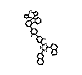 Cc1cc(-c2cccc3c2-c2ccccc2C32c3ccccc3Oc3ccccc32)ccc1-c1ccc(-c2nc(-c3ccc4ccccc4c3)nc(-c3cccc4ccccc34)n2)c(C)c1